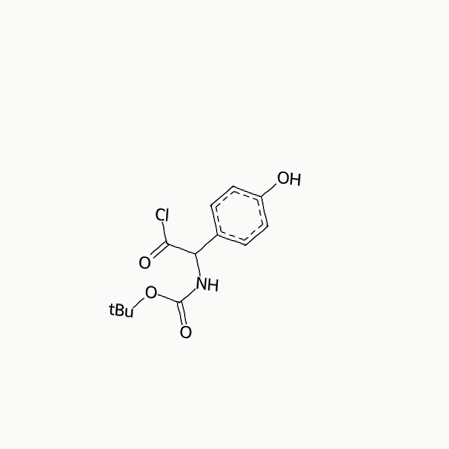 CC(C)(C)OC(=O)NC(C(=O)Cl)c1ccc(O)cc1